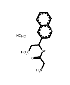 Cl.Cl.NCC(=O)NC(CC(=O)O)c1cnc2ccccc2c1